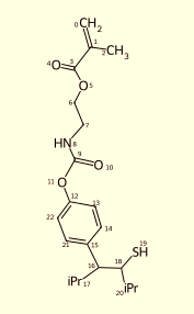 C=C(C)C(=O)OCCNC(=O)Oc1ccc(C(C(C)C)C(S)C(C)C)cc1